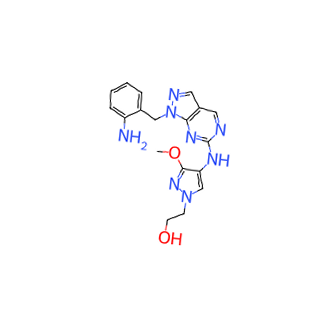 COc1nn(CCO)cc1Nc1ncc2cnn(Cc3ccccc3N)c2n1